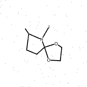 CC1CCC2(OCCO2)N1I